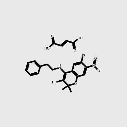 CC1(C)Oc2cc([N+](=O)[O-])c(Br)cc2C(NCCc2ccccc2)=C1O.O=C(O)C=CC(=O)O